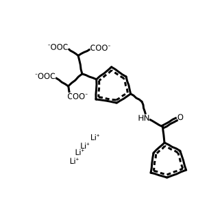 O=C(NCc1ccc(C(C(C(=O)[O-])C(=O)[O-])C(C(=O)[O-])C(=O)[O-])cc1)c1ccccc1.[Li+].[Li+].[Li+].[Li+]